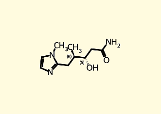 C[C@H](Cc1nccn1C)[C@@H](O)CC(N)=O